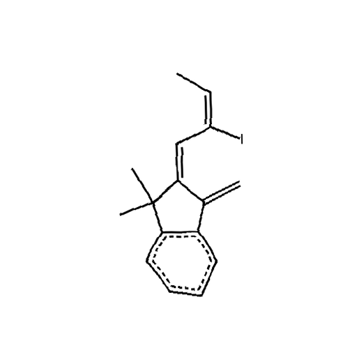 C=C1/C(=C\C(I)=C/C)C(C)(C)c2ccccc21